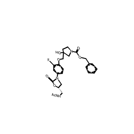 CC(=O)NC[C@H]1CN(c2ccc(OCC3(O)CCN(C(=O)OCc4ccccc4)C3)c(F)c2)C(=O)O1